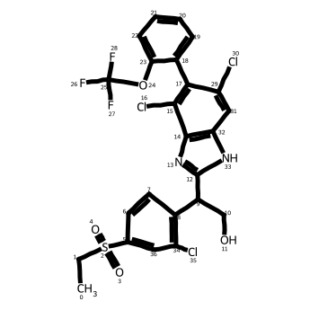 CCS(=O)(=O)c1ccc(C(CO)c2nc3c(Cl)c(-c4ccccc4OC(F)(F)F)c(Cl)cc3[nH]2)c(Cl)c1